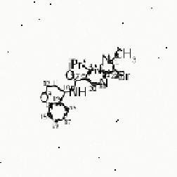 Cc1nn2c(C(C)C)c(C(=O)NC3CCOc4ccccc43)cnc2c1Br